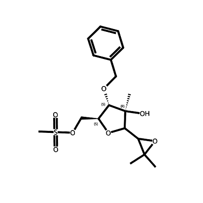 CC1(C)OC1C1O[C@@H](COS(C)(=O)=O)[C@H](OCc2ccccc2)[C@@]1(C)O